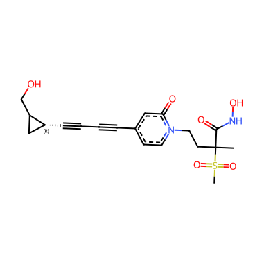 CC(CCn1ccc(C#CC#C[C@@H]2CC2CO)cc1=O)(C(=O)NO)S(C)(=O)=O